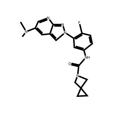 CN(C)c1cnc2nn(-c3cc(NC(=O)N4CC5(CC5)C4)ccc3F)cc2c1